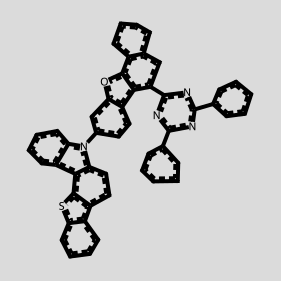 c1ccc(-c2nc(-c3ccccc3)nc(-c3cc4ccccc4c4oc5cc(-n6c7ccccc7c7c8sc9ccccc9c8ccc76)ccc5c34)n2)cc1